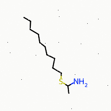 CCCCCCCCCCSC(C)N